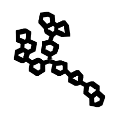 c1cc(-c2cccc3c2ccc2ccccc23)cc(N(c2ccc(-c3ccc(-c4ccc5ccccc5c4)cc3)cc2)c2ccc(-c3cc4ccccc4c4ccccc34)cc2)c1